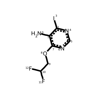 Nc1c(I)ncnc1OCC(F)F